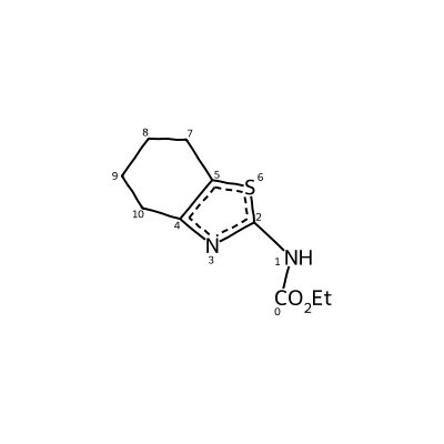 CCOC(=O)Nc1nc2c(s1)CCCC2